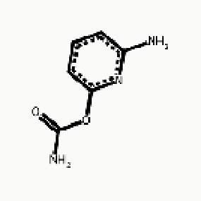 NC(=O)Oc1cccc(N)n1